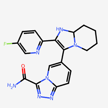 NC(=O)c1nnc2ccc(C3=C(c4ccc(F)cn4)NC4CCCCN34)cn12